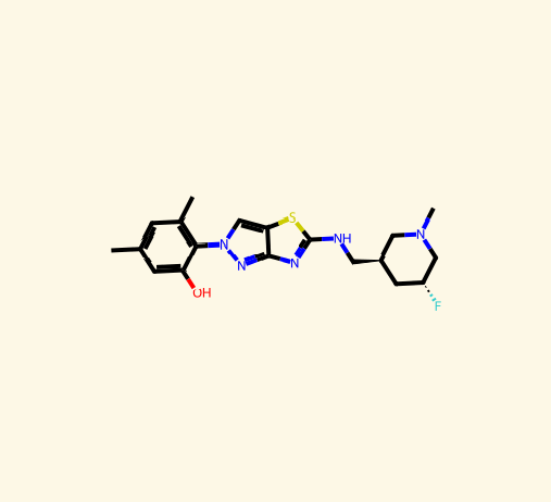 Cc1cc(C)c(-n2cc3sc(NC[C@@H]4C[C@@H](F)CN(C)C4)nc3n2)c(O)c1